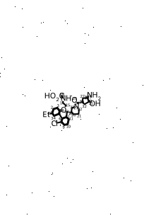 CCc1cccc(-c2c(Cl)cccc2C(OCCNC(=O)O)[C@@H]2CCCN(C(=O)[C@H]3C[C@@H](N)[C@@H](O)C3)C2)c1